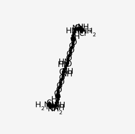 N=C(NCCCCc1ccc(OCCOCCOCCOCCOCCNC(=O)NCCCCNC(=O)NCCOCCOCCOCCOCCOc2ccc(CCCCNC(=N)NC(=O)c3nc(Cl)c(N)nc3N)cc2)cc1)NC(=O)c1nc(Cl)c(N)nc1N